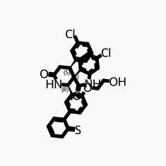 O=C1C[C@@H](c2cccc(Cl)c2)[C@]2(C(=O)Nc3cc(Cl)ccc32)[C@@H](c2cc(C3=CC=CCC3=S)ccc2OCCO)N1